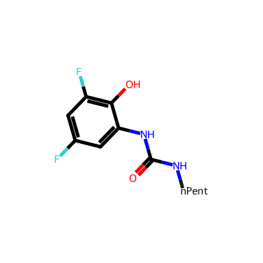 CCCCCNC(=O)Nc1cc(F)cc(F)c1O